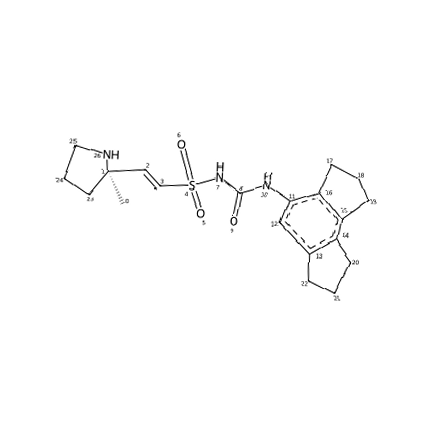 C[C@]1(/C=C/S(=O)(=O)NC(=O)Nc2cc3c(c4c2CCC4)CCC3)CCCN1